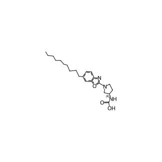 CCCCCCCCCCc1ccc2nc(N3CC[C@@H](NC(=O)O)C3)oc2c1